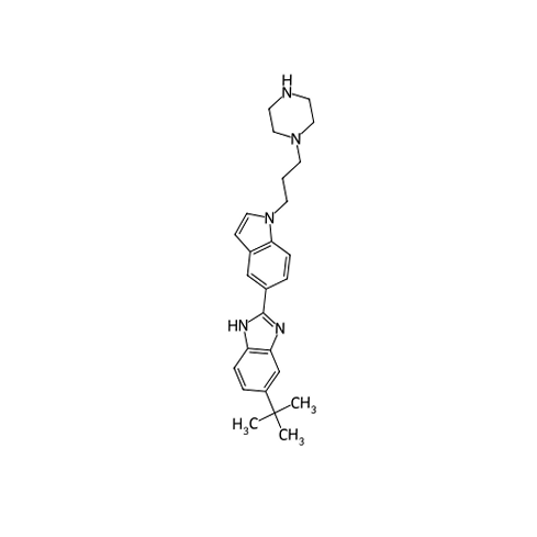 CC(C)(C)c1ccc2[nH]c(-c3ccc4c(ccn4CCCN4CCNCC4)c3)nc2c1